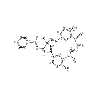 COC(=O)c1cc(N=NC2(N=Nc3ccc(O)c(C(=O)OC)c3)C=CC(c3ccccc3)=CC2I)ccc1O